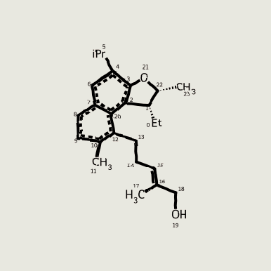 CC[C@@H]1c2c(c(C(C)C)cc3ccc(C)c(CC/C=C(\C)CO)c23)O[C@@H]1C